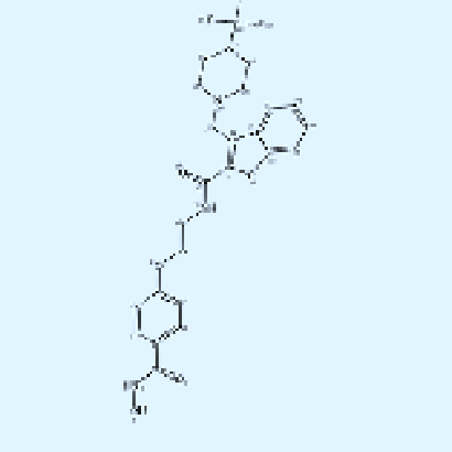 O=C(NO)c1ccc(OCCNC(=O)c2oc3ccccc3c2CN2CCC(C(F)(F)F)CC2)cc1